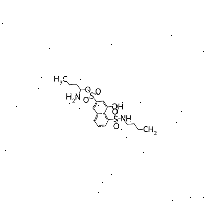 CCCCNS(=O)(=O)c1cccc2cc(S(=O)(=O)OC(N)CCC)cc(O)c12